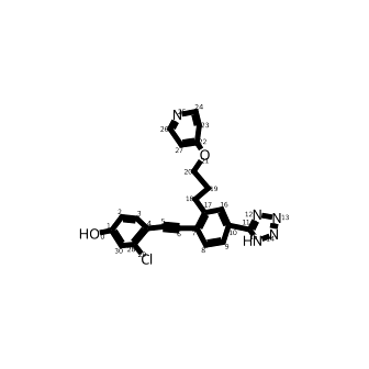 Oc1ccc(C#Cc2ccc(-c3nnn[nH]3)cc2CCCOc2ccncc2)c(Cl)c1